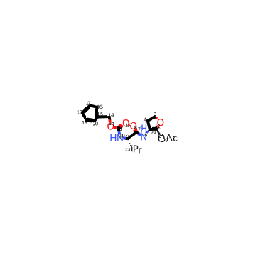 CC(=O)O[C@@H]1OCC[C@@H]1NC(=O)[C@@H](NC(=O)OCc1ccccc1)C(C)C